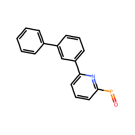 O=Pc1cccc(-c2cccc(-c3ccccc3)c2)n1